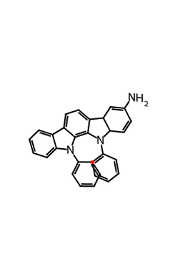 NC1=CC2c3ccc4c5ccccc5n(-c5ccccc5)c4c3N(c3ccccc3)C2C=C1